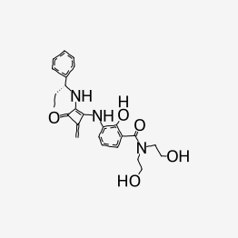 C=C1C(=O)C(N[C@H](CC)c2ccccc2)=C1Nc1cccc(C(=O)N(CCO)CCO)c1O